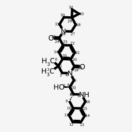 CC1(C)CN(C[C@H](O)[C@H]2Cc3ccccc3CN2)C(=O)c2ccc(C(=O)N3CCC4(CC3)CC4)cc21